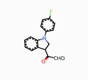 O=CC(=O)C1CN(c2ccc(F)cc2)c2ccccc21